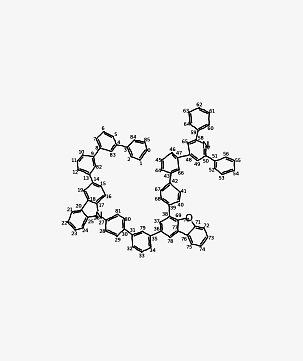 c1ccc(-c2cccc(-c3cccc(-c4ccc5c(c4)c4ccccc4n5-c4ccc(-c5cccc(-c6cc(-c7ccc(-c8cccc(-c9cc(-c%10ccccc%10)nc(-c%10ccccc%10)c9)c8)cc7)c7oc8ccccc8c7c6)c5)cc4)c3)c2)cc1